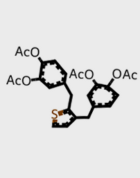 CC(=O)Oc1ccc(Cc2ccsc2Cc2ccc(OC(C)=O)c(OC(C)=O)c2)cc1OC(C)=O